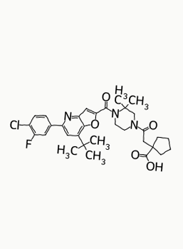 CC(C)(C)c1cc(-c2ccc(Cl)c(F)c2)nc2cc(C(=O)N3CCN(C(=O)CC4(C(=O)O)CCCC4)CC3(C)C)oc12